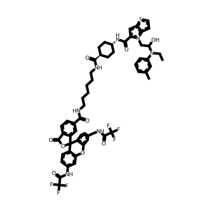 CCN(c1cccc(C)c1)C(O)Cn1c(C(=O)N[C@H]2CC[C@H](C(=O)NCCCCCCNC(=O)c3ccc4c(c3)C3(OC4=O)c4ccc(NC(=O)C(F)(F)F)cc4Oc4cc(NC(=O)C(F)(F)F)ccc43)CC2)cc2sccc21